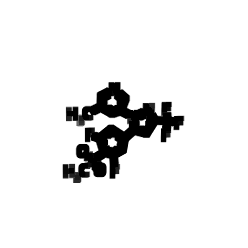 Cc1cncc(-n2nc(C(F)(F)F)cc2-c2cc(F)c(S(C)(=O)=O)c(F)c2)c1